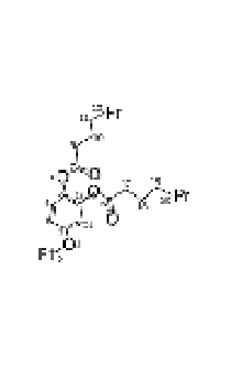 CCOc1ccc(OC(=O)CCCC(C)C)c(OC(=O)CCCC(C)C)c1